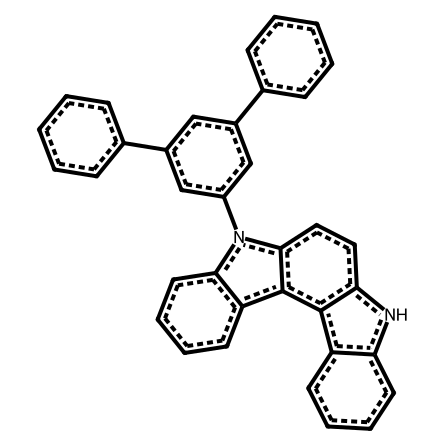 c1ccc(-c2cc(-c3ccccc3)cc(-n3c4ccccc4c4c5c(ccc43)[nH]c3ccccc35)c2)cc1